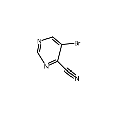 N#Cc1ncncc1Br